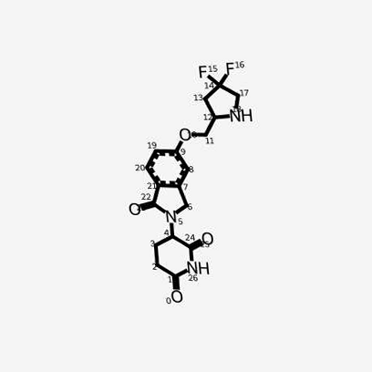 O=C1CCC(N2Cc3cc(OCC4CC(F)(F)CN4)ccc3C2=O)C(=O)N1